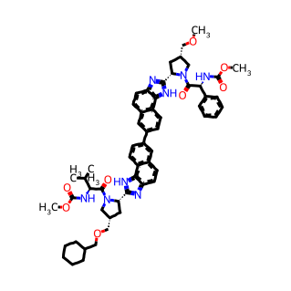 COC[C@H]1C[C@@H](c2nc3ccc4cc(-c5ccc6c(ccc7nc([C@@H]8C[C@H](COCC9CCCCC9)CN8C(=O)[C@@H](NC(=O)OC)C(C)C)[nH]c76)c5)ccc4c3[nH]2)N(C(=O)[C@H](NC(=O)OC)c2ccccc2)C1